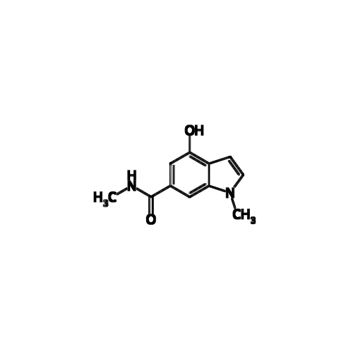 CNC(=O)c1cc(O)c2ccn(C)c2c1